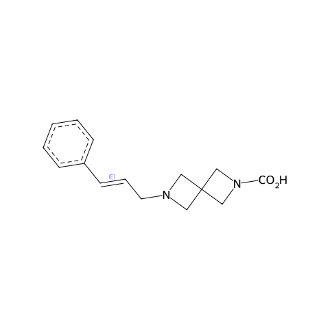 O=C(O)N1CC2(CN(C/C=C/c3ccccc3)C2)C1